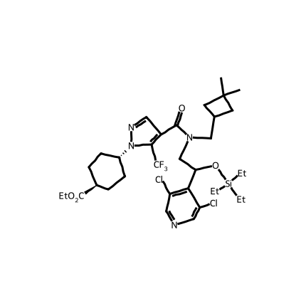 CCOC(=O)[C@H]1CC[C@H](n2ncc(C(=O)N(CC3CC(C)(C)C3)CC(O[Si](CC)(CC)CC)c3c(Cl)cncc3Cl)c2C(F)(F)F)CC1